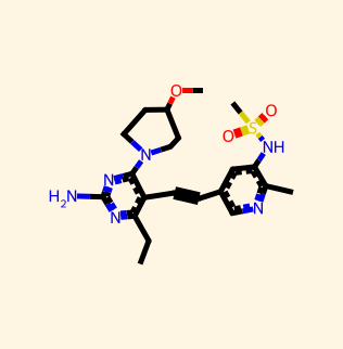 CCc1nc(N)nc(N2CCC(OC)CC2)c1C#Cc1cnc(C)c(NS(C)(=O)=O)c1